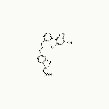 Cc1cc(O)c2c(c1-c1cccc(CCCc3ccc4c(c3)OC[C@H]4CC(=O)O)c1)CC2